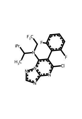 CC(C)C(C)N(CC(F)(F)F)c1c(-c2c(F)cccc2F)c(Cl)nc2ncnn12